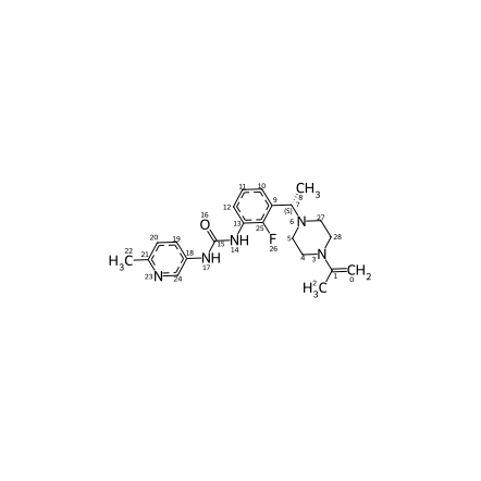 C=C(C)N1CCN([C@@H](C)c2cccc(NC(=O)Nc3ccc(C)nc3)c2F)CC1